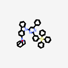 c1ccc(-c2cc(-n3c4ccccc4c4ccc(N5C6CC7CC(C6)CC5C7)cc43)nc(-c3cccc(S(c4ccccc4)(c4ccccc4)c4ccccc4)c3)n2)cc1